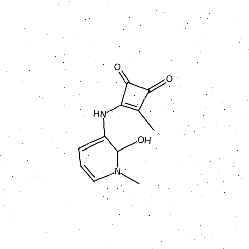 Cc1c(NC2=CC=CN(C)C2O)c(=O)c1=O